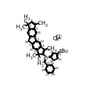 CC1=CC(C)(C)c2cc3c(cc21)-c1cc2c(cc1C3)C(C)(C)[C]([Zr+2](=[CH]c1ccccc1)[C]1=CC(C(C)(C)C)=CC1)=C2C.[Cl-].[Cl-]